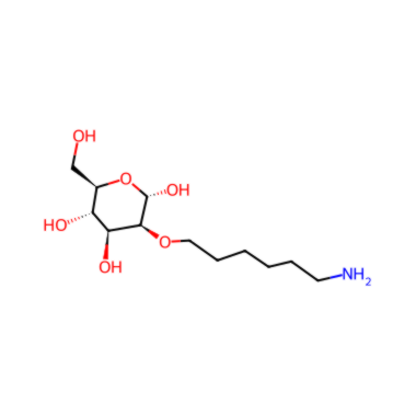 NCCCCCCO[C@H]1[C@@H](O)[C@H](O)[C@@H](CO)O[C@@H]1O